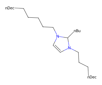 CCCCCCCCCCCCCCCN1C=CN(CCCCCCCCCCCCC)C1CCCC